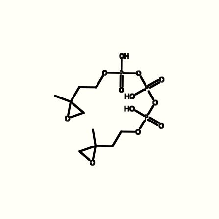 CC1(CCOP(=O)(O)OP(=O)(O)OP(=O)(O)OCCC2(C)CO2)CO1